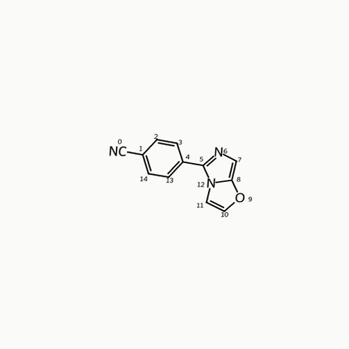 N#Cc1ccc(-c2ncc3occn23)cc1